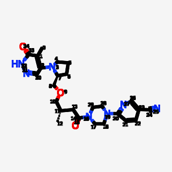 Cc1c(N2CCC[C@H]2COC[C@@H](C)CC(=O)N2CCN(c3ccc(C#N)cn3)CC2)cn[nH]c1=O